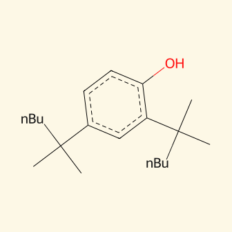 CCCCC(C)(C)c1ccc(O)c(C(C)(C)CCCC)c1